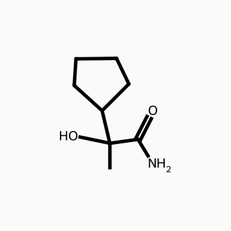 CC(O)(C(N)=O)C1CCCC1